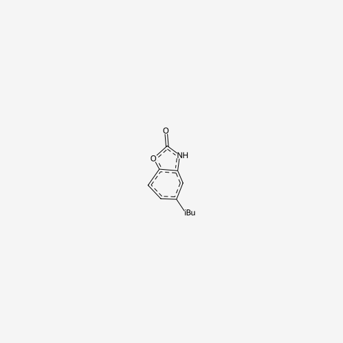 CCC(C)c1ccc2oc(=O)[nH]c2c1